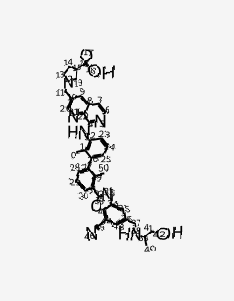 Cc1c(Nc2nccc3cc(CN4CCC(C(=O)O)C4)cnc23)cccc1-c1cccc(-c2nc3cc(CNC(C)CO)cc(C#N)c3o2)c1C